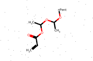 C=CC(=O)OC(C)OC(C)OCCCCC